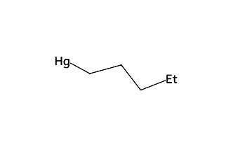 CCCC[CH2][Hg]